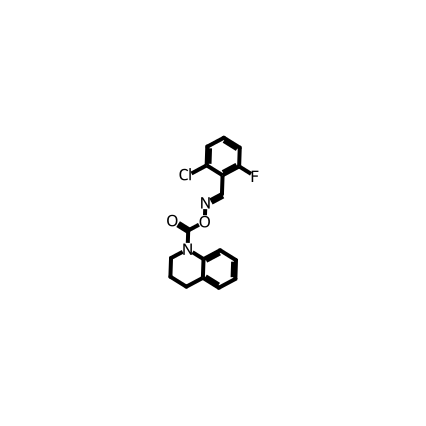 O=C(ON=Cc1c(F)cccc1Cl)N1CCCc2ccccc21